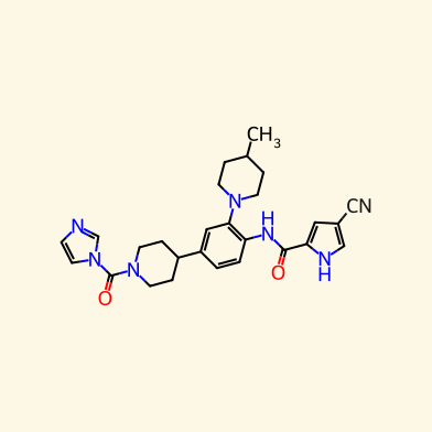 CC1CCN(c2cc(C3CCN(C(=O)n4ccnc4)CC3)ccc2NC(=O)c2cc(C#N)c[nH]2)CC1